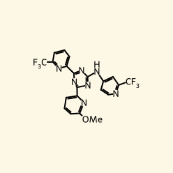 COc1cccc(-c2nc(Nc3ccnc(C(F)(F)F)c3)nc(-c3cccc(C(F)(F)F)n3)n2)n1